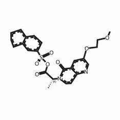 COCCOc1cnc2ccn([C@H](C)C(=O)OS(=O)(=O)c3ccc4ccccc4c3)c(=O)c2c1